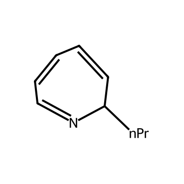 CCCC1C=CC=CC=N1